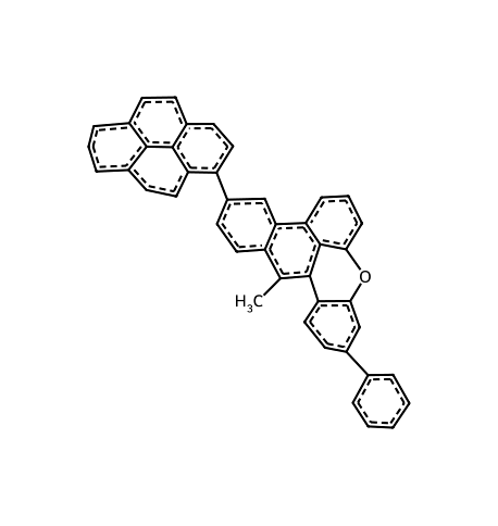 Cc1c2c3c(cccc3c3cc(-c4ccc5ccc6cccc7ccc4c5c67)ccc13)Oc1cc(-c3ccccc3)ccc1-2